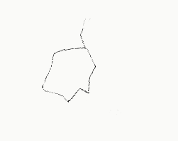 O=C(O)[C@@H]1CCCC(Br)C1